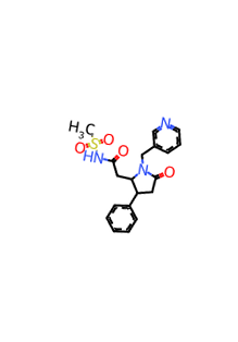 CS(=O)(=O)NC(=O)CC1C(c2ccccc2)CC(=O)N1Cc1cccnc1